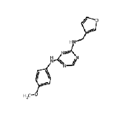 COc1ccc(Nc2n[c]nc(NCc3ccoc3)n2)cc1